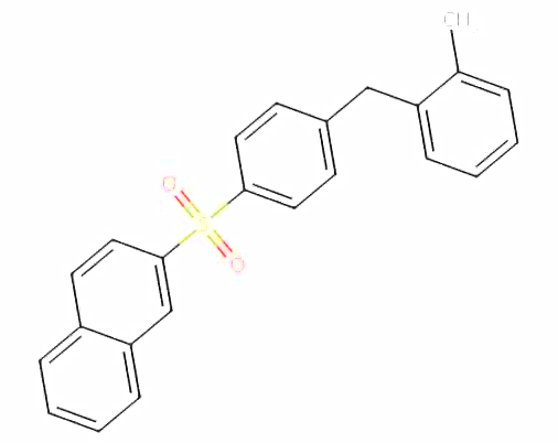 Cc1ccccc1Cc1ccc(S(=O)(=O)c2ccc3ccccc3c2)cc1